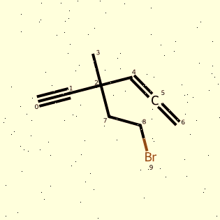 C#CC(C)(C=C=C)CCBr